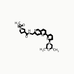 C[C@@H]1CN(c2cccc(-c3ccc4cnc(CNC(=O)C5CCN(S(C)(=O)=O)C5)cc4n3)n2)C[C@H](C)O1